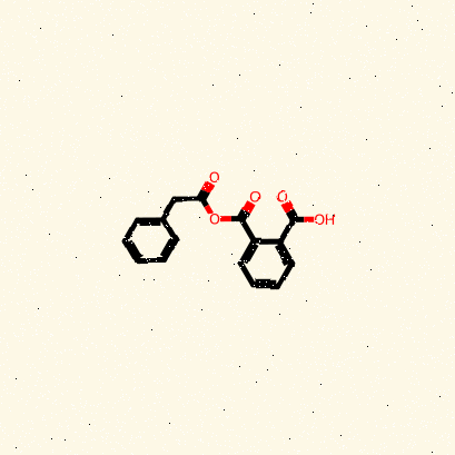 O=C(Cc1ccccc1)OC(=O)c1ccccc1C(=O)O